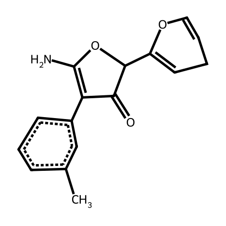 Cc1cccc(C2=C(N)OC(C3=CCC=CO3)C2=O)c1